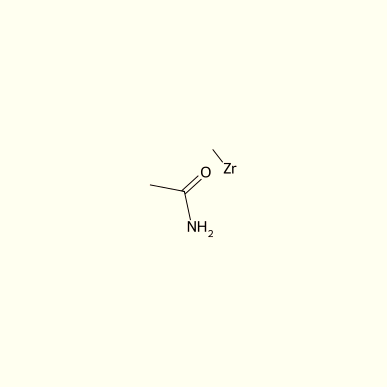 CC(N)=O.[CH3][Zr]